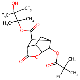 CCC(C)(C)C(=O)OC1C2CC3C1OC(=O)C3C2C(=O)OC(C)(C)C(O)(C(F)(F)F)C(F)(F)F